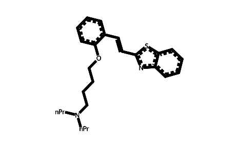 CCCN(CCC)CCCCOc1ccccc1C=Cc1nc2ccccc2s1